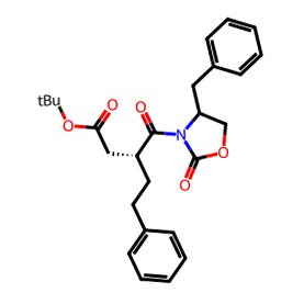 CC(C)(C)OC(=O)C[C@@H](CCc1ccccc1)C(=O)N1C(=O)OCC1Cc1ccccc1